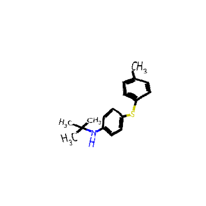 Cc1ccc(Sc2ccc(NC(C)(C)C)cc2)cc1